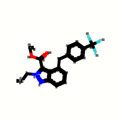 CCn1nc2cccc(Cc3ccc(C(F)(F)F)cc3)c2c1C(=O)OC